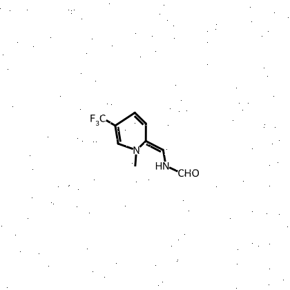 CN1C=C(C(F)(F)F)C=C/C1=C/NC=O